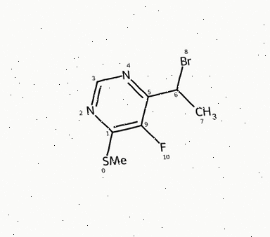 CSc1ncnc(C(C)Br)c1F